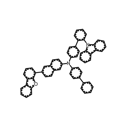 c1ccc(-c2ccc(N(c3ccc(-c4ccccc4-n4c5ccccc5c5ccccc54)cc3)c3ccc4cc(-c5cccc6c5oc5ccccc56)ccc4c3)cc2)cc1